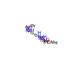 COC(=O)CN[C@H](C(=O)N1CCC[C@H]1c1ncc(-c2ccc(-c3ccc(-c4cnc([C@@H]5CCCN5C(=O)[CH]C(C)C)[nH]4)cc3)cc2)[nH]1)C(C)C